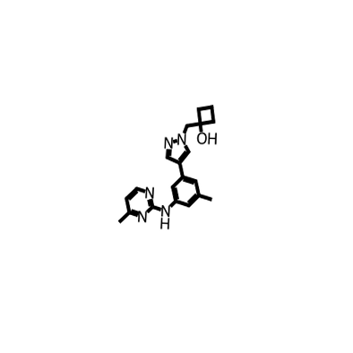 Cc1cc(Nc2nccc(C)n2)cc(-c2cnn(CC3(O)CCC3)c2)c1